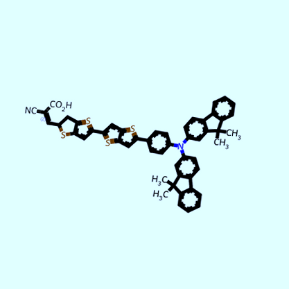 CC1(C)c2ccccc2-c2ccc(N(c3ccc(-c4cc5sc(-c6cc7c(s6)CC(/C=C(/C#N)C(=O)O)S7)cc5s4)cc3)c3ccc4c(c3)C(C)(C)c3ccccc3-4)cc21